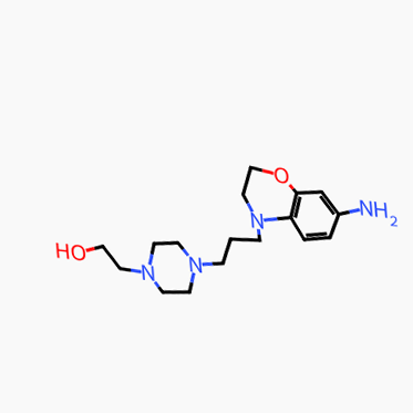 Nc1ccc2c(c1)OCCN2CCCN1CCN(CCO)CC1